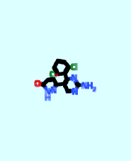 Nc1ncc(-c2ccc(=O)[nH]n2)c(-c2c(Cl)cccc2Cl)n1